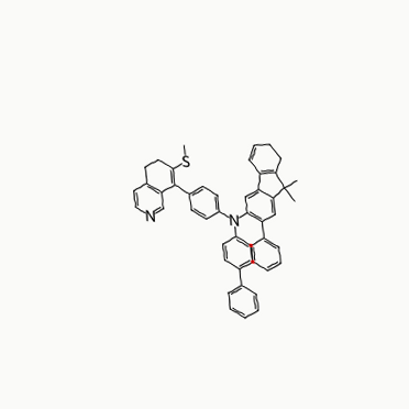 CSC1=C(c2ccc(N(c3ccc(-c4ccccc4)cc3)c3cc4c(cc3-c3ccccc3)C(C)(C)C3=C4C=CCC3)cc2)c2cnccc2CC1